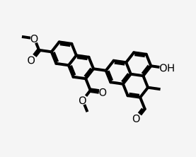 COC(=O)c1ccc2cc(-c3cc4c5c(c(O)ccc5c3)C(C)C(C=O)=C4)c(C(=O)OC)cc2c1